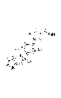 O=S(=O)(Nc1nccs1)c1cc(Cl)c(N2CCC(CO)C2)cc1F